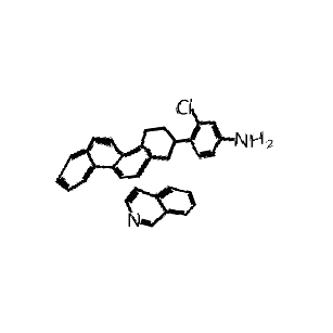 Nc1ccc(C2CCc3c(ccc4c3ccc3ccccc34)C2)c(Cl)c1.c1ccc2cnccc2c1